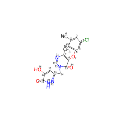 N#Cc1cc(Cl)cc(Oc2c(C(F)(F)F)ncn(Cc3cc(O)c(=O)[nH]n3)c2=O)c1